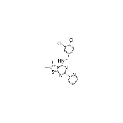 Cc1sc2nc(-c3ccccn3)nc(NCc3ccc(Cl)c(Cl)c3)c2c1C